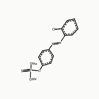 COP(=S)(OC)Oc1ccc(N=Nc2ccccc2Cl)cc1